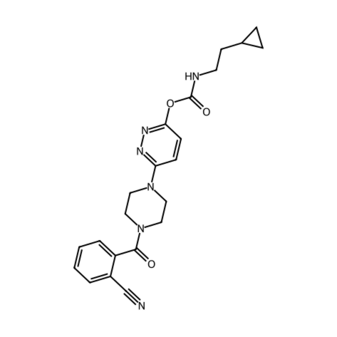 N#Cc1ccccc1C(=O)N1CCN(c2ccc(OC(=O)NCCC3CC3)nn2)CC1